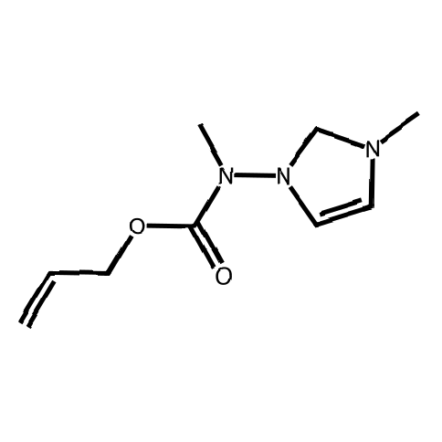 C=CCOC(=O)N(C)N1C=CN(C)C1